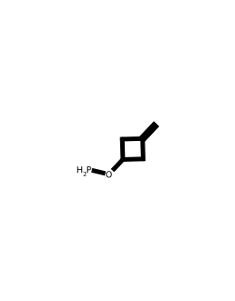 C=C1CC(OP)C1